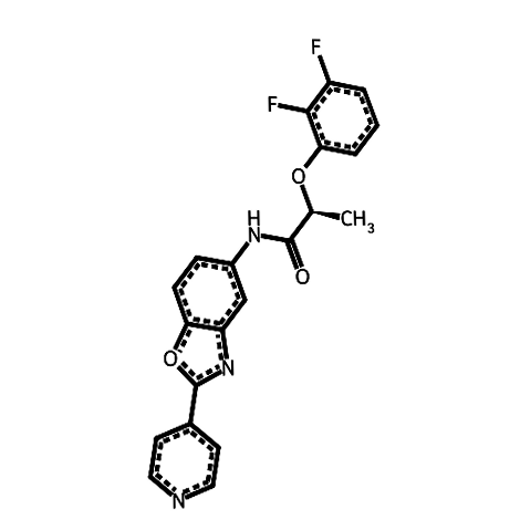 C[C@H](Oc1cccc(F)c1F)C(=O)Nc1ccc2oc(-c3ccncc3)nc2c1